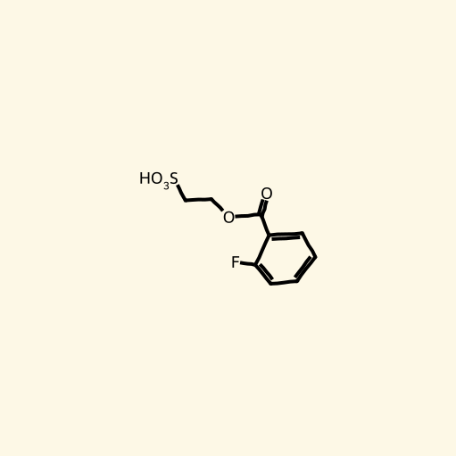 O=C(OCCS(=O)(=O)O)c1ccccc1F